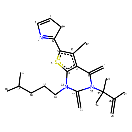 C=C1c2c(sc(C3=NC=CC3)c2C)N(CCCC(C)C)C(=C)N1C(C)(C)C(=C)C